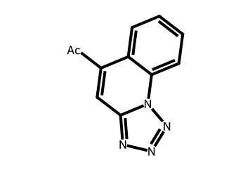 CC(=O)c1cc2nnnn2c2ccccc12